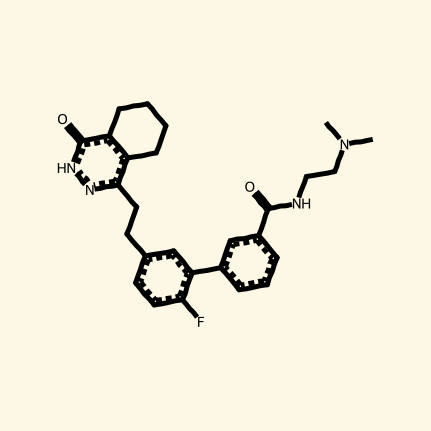 CN(C)CCNC(=O)c1cccc(-c2cc(CCc3n[nH]c(=O)c4c3CCCC4)ccc2F)c1